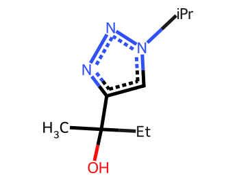 CCC(C)(O)c1cn(C(C)C)nn1